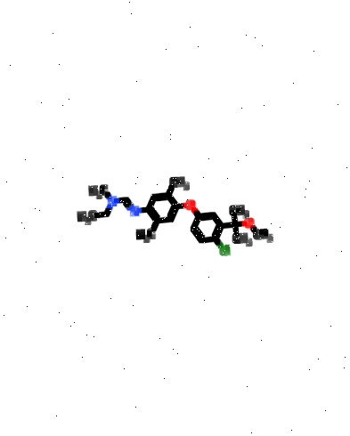 CCN(C)/C=N/c1cc(C)c(Oc2ccc(Cl)c(C(C)(C)OC)c2)cc1C